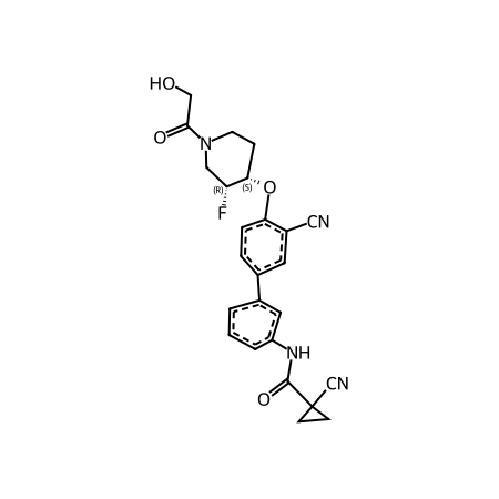 N#Cc1cc(-c2cccc(NC(=O)C3(C#N)CC3)c2)ccc1O[C@H]1CCN(C(=O)CO)C[C@H]1F